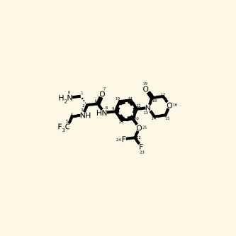 NC[C@@H](NCC(F)(F)F)C(=O)Nc1ccc(N2CCOCC2=O)c(OC(F)F)c1